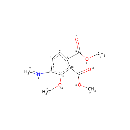 C=Nc1ccc(C(=O)OC)c(C(=O)OC)c1OC